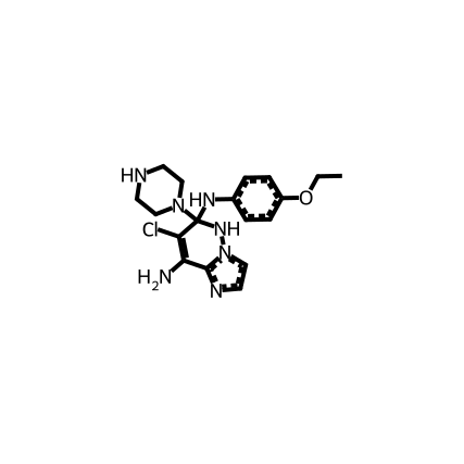 CCOc1ccc(NC2(N3CCNCC3)Nn3ccnc3C(N)=C2Cl)cc1